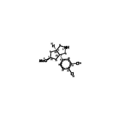 CO[C@H]1C[C@H]2CNC[C@@]2(c2ccc(Cl)c(Cl)c2)C1